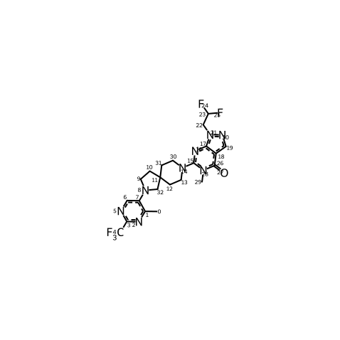 Cc1nc(C(F)(F)F)ncc1N1CCC2(CCN(c3nc4c(cnn4CC(F)F)c(=O)n3C)CC2)C1